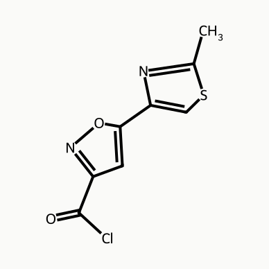 Cc1nc(-c2cc(C(=O)Cl)no2)cs1